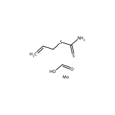 C=CCSC(N)=S.O=CO.[Mo]